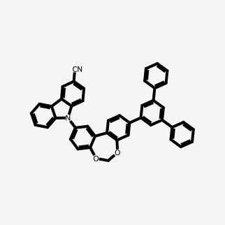 N#Cc1ccc2c(c1)c1ccccc1n2-c1ccc2c(c1)-c1ccc(-c3cc(-c4ccccc4)cc(-c4ccccc4)c3)cc1OCO2